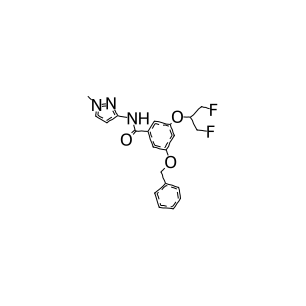 Cn1ccc(NC(=O)c2cc(OCc3ccccc3)cc(OC(CF)CF)c2)n1